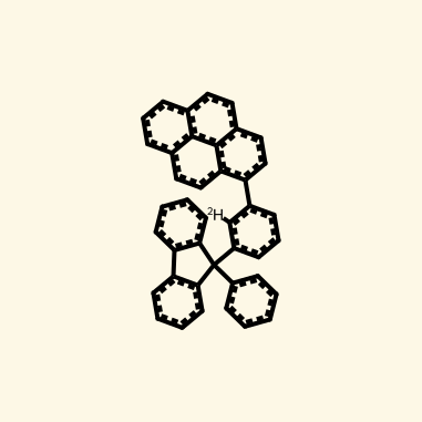 [2H]c1c(-c2ccc3ccc4cccc5ccc2c3c45)cccc1C1(c2ccccc2)c2ccccc2-c2ccccc21